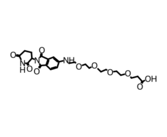 O=C(O)CCOCCOCCOCCOCCNc1ccc2c(c1)C(=O)N(C1CCC(=O)NC1=O)C2=O